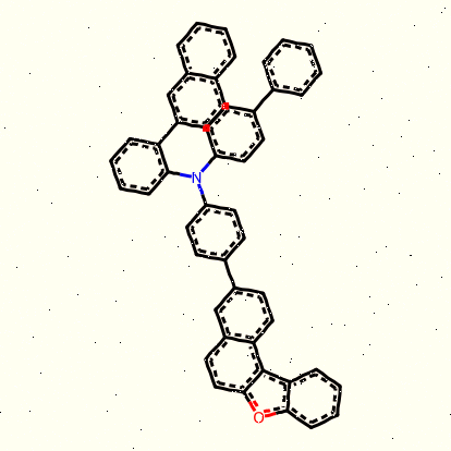 c1ccc(-c2ccc(N(c3ccc(-c4ccc5c(ccc6oc7ccccc7c65)c4)cc3)c3ccccc3-c3ccc4ccccc4c3)cc2)cc1